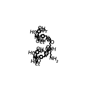 CCNC(=O)c1nnc(-c2cc(C(C)C)c(O)cc2O)n1-c1ccc(CN2CCN(C(=O)CCC(=O)N[C@@H](CCCCN)C(=O)N3CCN(Cc4ccc(-n5c(C(=O)NCC)nnc5-c5cc(C(C)C)c(O)cc5O)cc4)CC3)CC2)cc1